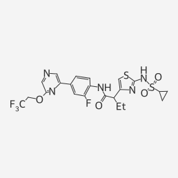 CCC(C(=O)Nc1ccc(-c2cncc(OCC(F)(F)F)n2)cc1F)c1csc(NS(=O)(=O)C2CC2)n1